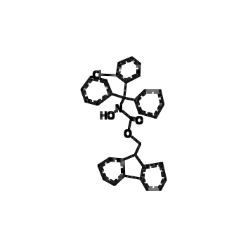 O=C(OCC1c2ccccc2-c2ccccc21)N(O)C(c1ccccc1)(c1ccccc1)c1ccccc1Cl